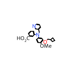 COc1ccc(N(Cc2cccnc2)c2cccc(C(=O)O)c2)cc1OCC1CCC1